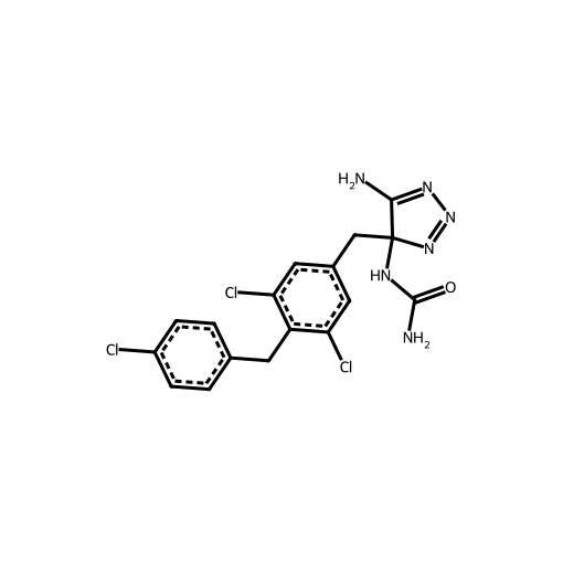 NC(=O)NC1(Cc2cc(Cl)c(Cc3ccc(Cl)cc3)c(Cl)c2)N=NN=C1N